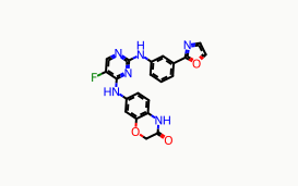 O=C1COc2cc(Nc3nc(Nc4cccc(-c5ncco5)c4)ncc3F)ccc2N1